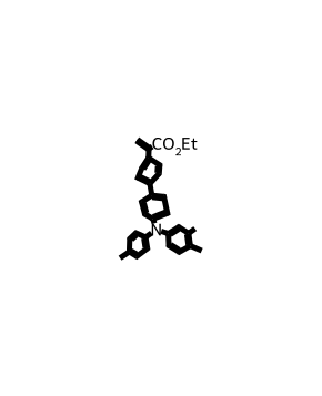 C=C(C(=O)OCC)c1ccc(-c2ccc(N(c3ccc(C)cc3)c3ccc(C)c(C)c3)cc2)cc1